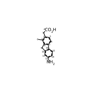 Cc1c(CC(=O)O)ccc2c1Cc1cc(N)ccc1-2